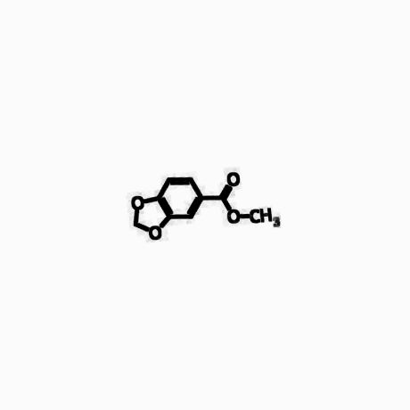 COC(=O)c1ccc2c(c1)OCO2